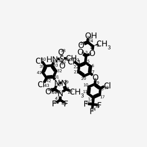 C[C@H](OC(=O)c1cc(Oc2ccc(C(F)(F)F)cc2Cl)ccc1Cl)C(=O)O.Cc1nn(-c2cc(NS(C)(=O)=O)c(Cl)cc2Cl)c(=O)n1C(F)F